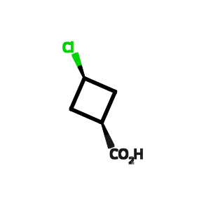 O=C(O)[C@H]1C[C@@H](Cl)C1